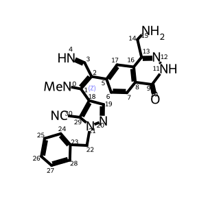 CN/C(=C(\C=N)c1ccc2c(=O)[nH]nc(CN)c2c1)c1cnn(Cc2ccccc2)c1C#N